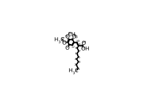 CCCCCCCCC/C(=C\C1=CC(=O)C(OC)=C(OC)C1=O)C(=O)O